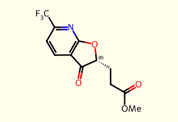 COC(=O)CC[C@H]1Oc2nc(C(F)(F)F)ccc2C1=O